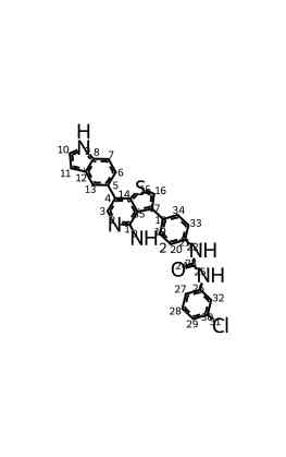 Nc1ncc(-c2ccc3[nH]ccc3c2)c2scc(-c3ccc(NC(=O)Nc4cccc(Cl)c4)cc3)c12